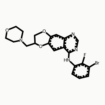 Fc1c(Br)cccc1Nc1ncnc2cc3c(cc12)OC(CN1CCOCC1)CO3